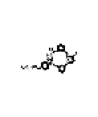 CC(=O)NCCc1ccc2c(c1)nc1n2Cc2cccc(c2)-c2ccc(=O)n(n2)Cc2cccc(c2)C(=O)N1